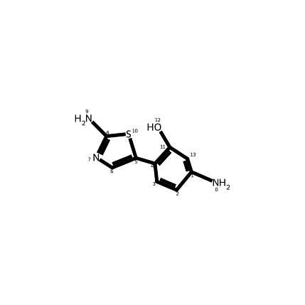 Nc1ccc(-c2cnc(N)s2)c(O)c1